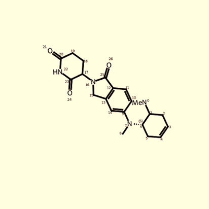 CNC1CC=CC[C@@H]1N(C)c1ccc2c(c1)CN(C1CCC(=O)NC1=O)C2=O